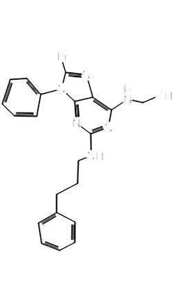 CCNc1nc(NCCCc2ccccc2)nc2c1nc(Br)n2-c1ccccc1